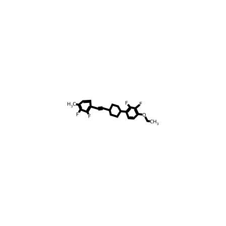 CCOc1ccc(C2CCC(C#Cc3ccc(C)c(F)c3F)CC2)c(F)c1F